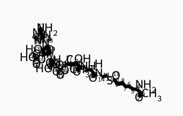 CC(=O)C(N)CCCC=CC(=O)SCCNC(=O)CCNC(=O)[C@H](O)C(C)(C)COP(=O)(O)OP(=O)(O)OC[C@H]1O[C@@H](n2cnc3c(N)ncnc32)[C@H](O)[C@@H]1OP(=O)(O)O